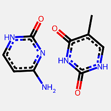 Cc1c[nH]c(=O)[nH]c1=O.Nc1cc[nH]c(=O)n1